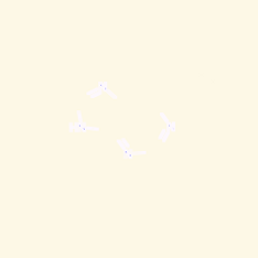 CSc1nc(Cl)nc2[nH]cnc12